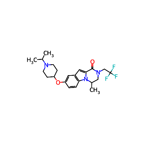 CC(C)N1CCC(Oc2ccc3c(c2)cc2n3C(C)CN(CC(F)(F)F)C2=O)CC1